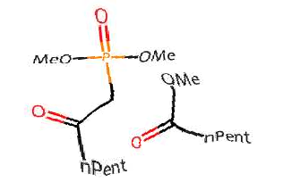 CCCCCC(=O)CP(=O)(OC)OC.CCCCCC(=O)OC